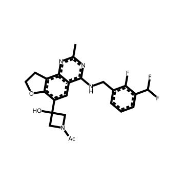 CC(=O)N1CC(O)(c2cc3c(NCc4cccc(C(F)F)c4F)nc(C)nc3c3c2OCC3)C1